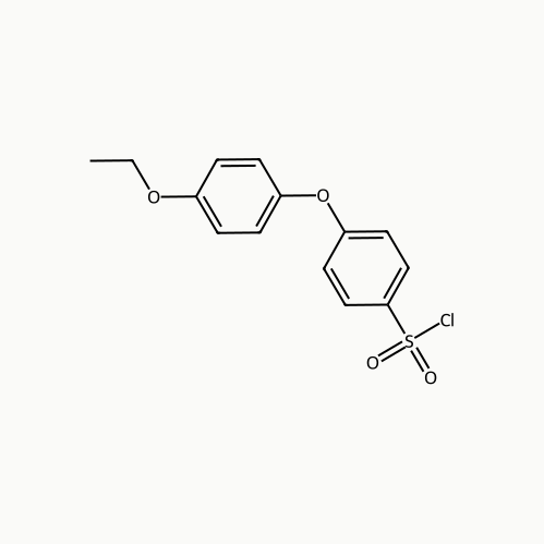 CCOc1ccc(Oc2ccc(S(=O)(=O)Cl)cc2)cc1